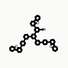 N#Cc1cc(-c2cc(-c3cccc(-c4ccc(-c5cccc6c5oc5ccccc56)cc4)c3)cc(-c3cccc(-c4ccc(-c5cccc6c5oc5ccccc56)cc4)c3)c2)cc(-c2cccc3c2oc2ccccc23)c1